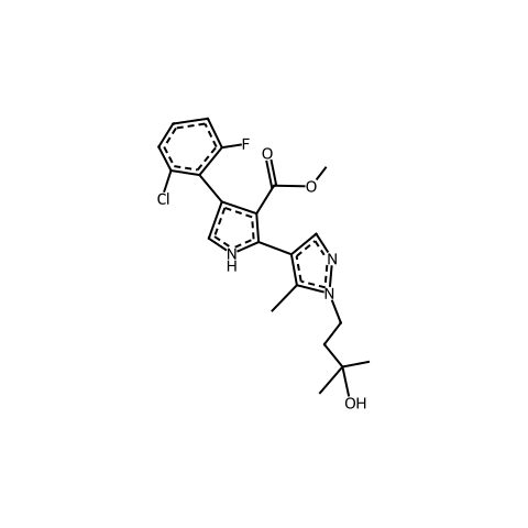 COC(=O)c1c(-c2c(F)cccc2Cl)c[nH]c1-c1cnn(CCC(C)(C)O)c1C